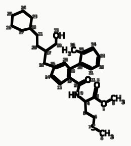 COC(=O)C(CCSC)NC(=O)c1ccc(CC(CO)CCC2CCCCC2)cc1-c1ccccc1C